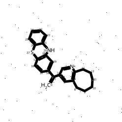 C=C(c1cnc2c(c1)CCCCCC2)c1ccc2c(c1)Nc1ccccc1S2